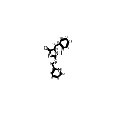 O=C1N=C(SCc2ccccn2)NC1Cc1ccccc1